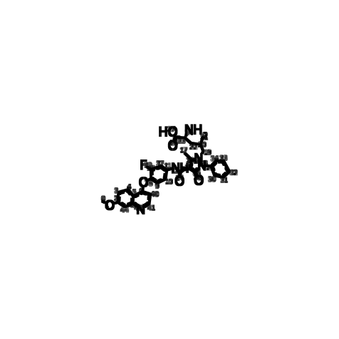 COc1ccc2c(Oc3ccc(NC(=O)c4c(C)n(CC(C)C[C@H](N)C(=O)O)n(-c5ccccc5)c4=O)cc3F)ccnc2c1